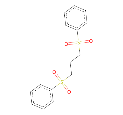 O=S(=O)(CCCS(=O)(=O)c1ccccc1)c1ccccc1